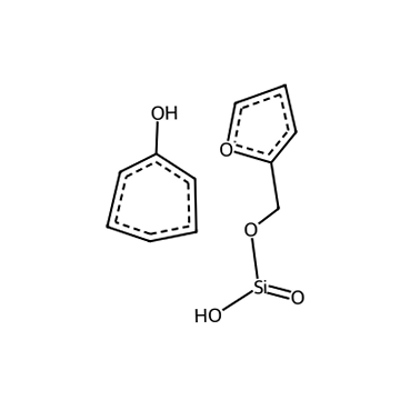 O=[Si](O)OCc1ccco1.Oc1ccccc1